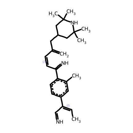 C=C(/C=C\C(=N)c1ccc(/C(C=N)=C/C)cc1C)CC1CC(C)(C)NC(C)(C)C1